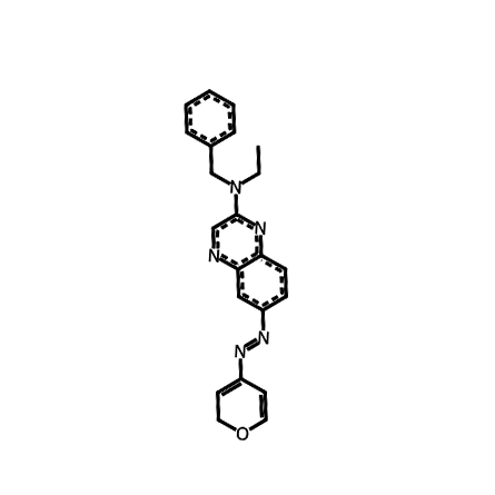 CCN(Cc1ccccc1)c1cnc2cc(N=NC3=CCOC=C3)ccc2n1